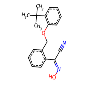 CC(C)(C)c1ccccc1OCc1ccccc1/C(C#N)=N\O